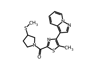 CSC1CCN(C(=O)c2nc(-c3cnn4ccccc34)c(C)s2)C1